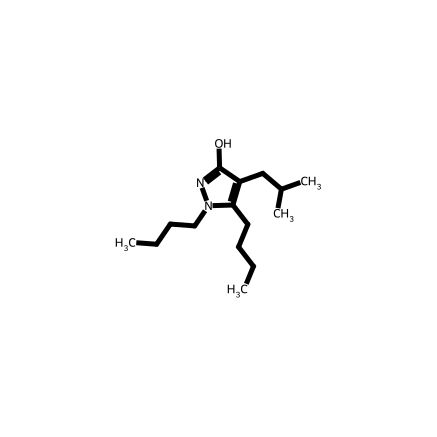 CCCCc1c(CC(C)C)c(O)nn1CCCC